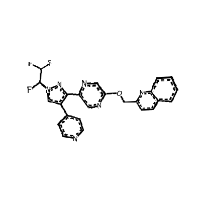 FC(F)C(F)n1cc(-c2ccncc2)c(-c2cnc(OCc3ccc4ccccc4n3)cn2)n1